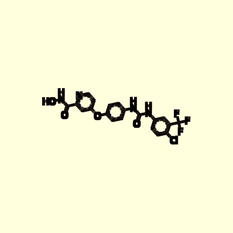 O=C(Nc1ccc(Oc2ccnc(C(=O)NO)c2)cc1)Nc1ccc(Cl)c(C(F)(F)F)c1